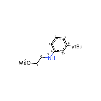 COCCNc1cccc(C(C)(C)C)c1